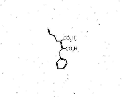 C=CCC/C(C(=O)O)=C(\Cc1ccccc1)C(=O)O